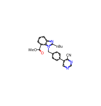 CCCCc1nc2cccc(C(=O)OC)c2n1Cc1ccc(-c2cncnc2C#N)cc1